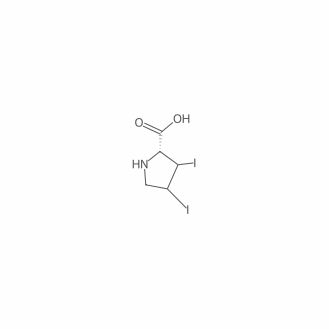 O=C(O)[C@H]1NCC(I)C1I